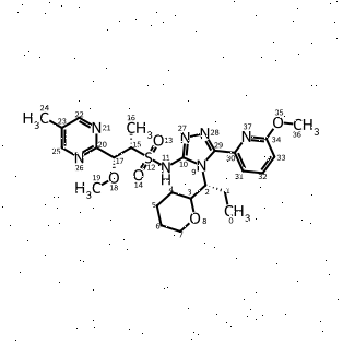 CC[C@H](C1CCCCO1)n1c(NS(=O)(=O)[C@@H](C)[C@H](OC)c2ncc(C)cn2)nnc1-c1cccc(OC)n1